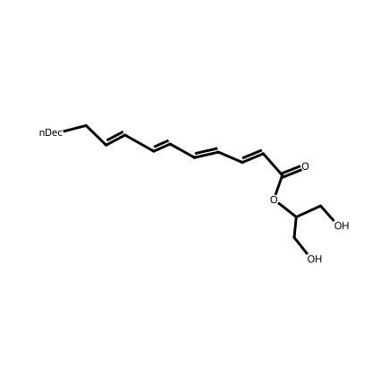 CCCCCCCCCCCC=CC=CC=CC=CC(=O)OC(CO)CO